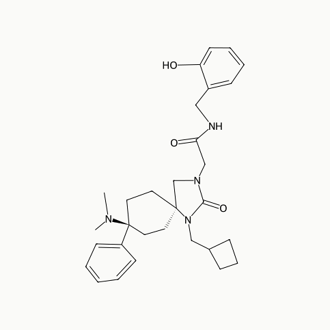 CN(C)[C@]1(c2ccccc2)CC[C@]2(CC1)CN(CC(=O)NCc1ccccc1O)C(=O)N2CC1CCC1